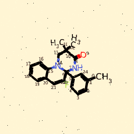 Cc1cccc(C23NC(=O)C(C)(C)CN2c2ccccc2C=C3F)c1